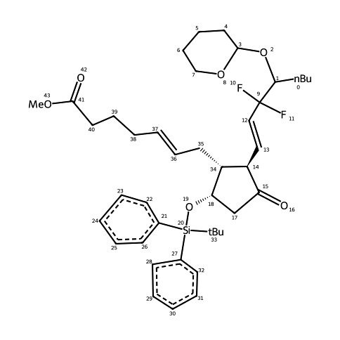 CCCCC(OC1CCCCO1)C(F)(F)/C=C/[C@H]1C(=O)C[C@H](O[Si](c2ccccc2)(c2ccccc2)C(C)(C)C)[C@@H]1C/C=C/CCCC(=O)OC